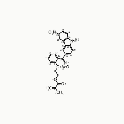 C=C(C)C(=O)OCCOc1ccccc1/C(=N\OC(C)=O)c1ccc2c(c1)c1cc([N+](=O)[O-])ccc1n2CC